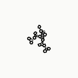 c1ccc(-c2ccc3c(c2)Oc2cccc4c2B3c2cc(-n3c5ccccc5c5cc(-n6c7ccccc7c7ccccc76)ccc53)cc3c5cc(-n6c7ccccc7c7cc(-n8c9ccccc9c9ccccc98)ccc76)ccc5n-4c23)cc1